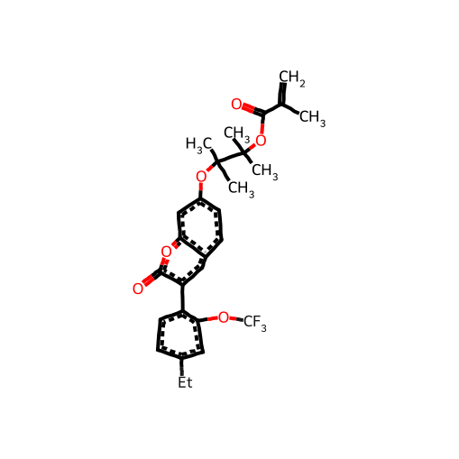 C=C(C)C(=O)OC(C)(C)C(C)(C)Oc1ccc2cc(-c3ccc(CC)cc3OC(F)(F)F)c(=O)oc2c1